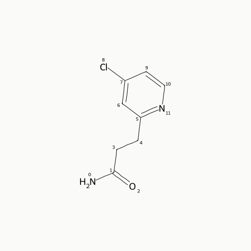 NC(=O)CCc1cc(Cl)ccn1